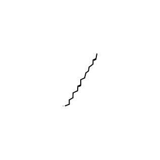 [CH2]CCCCC/C=C/CCCCCC/C=C/C